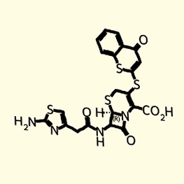 Nc1nc(CC(=O)NC2C(=O)N3C(C(=O)O)=C(Sc4cc(=O)c5ccccc5s4)CS[C@H]23)cs1